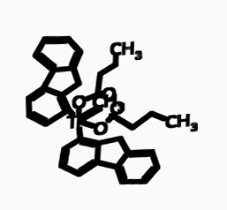 C[CH]=[Ti]([O]C(=O)CCC)([O]C(=O)CCC)([c]1cccc2c1Cc1ccccc1-2)[c]1cccc2c1Cc1ccccc1-2